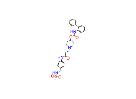 CS(=O)(=O)NCc1ccc(NC(=O)CCN2CCC(OC(=O)Nc3ccccc3-c3ccccc3)CC2)cc1